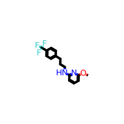 COc1cccc(NCCCc2ccc(C(F)(F)F)cc2)n1